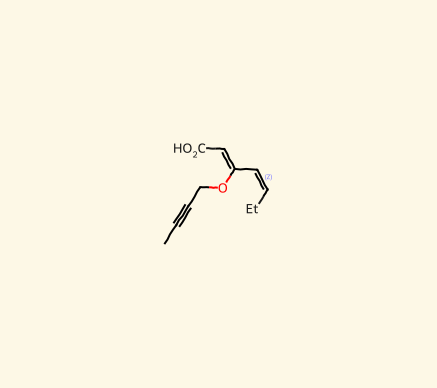 CC#CCOC(=CC(=O)O)/C=C\CC